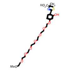 COCCOCCOCCOCCOCCOCCOCCOc1ccc(C2=N[C@@](C)(C(=O)O)CS2)c(O)c1